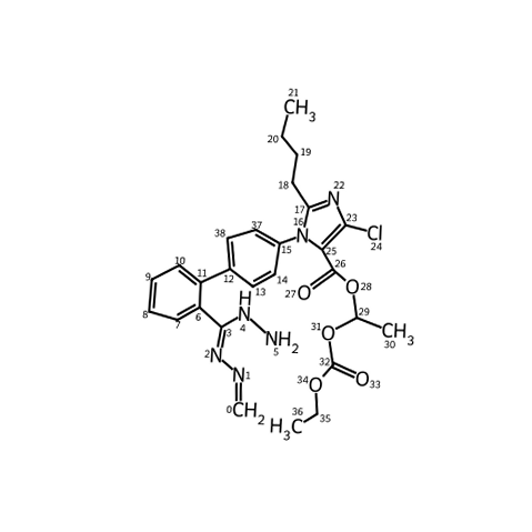 C=N/N=C(\NN)c1ccccc1-c1ccc(-n2c(CCCC)nc(Cl)c2C(=O)OC(C)OC(=O)OCC)cc1